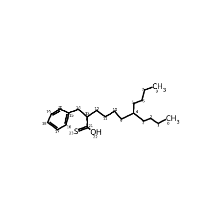 CCCCC(CCCC)CCCCC(Cc1ccccc1)C(O)=S